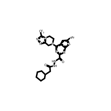 CCCc1cc2c(N3CCn4c(nnc4C(F)(F)F)C3)nc(C(=O)NNC(=O)CC3CCCCC3)nc2s1